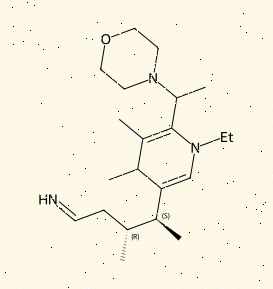 CCN1C=C([C@@H](C)[C@H](C)CC=N)C(C)C(C)=C1C(C)N1CCOCC1